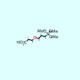 CO[Si](CCCOCCC(=O)O)(OC)OC